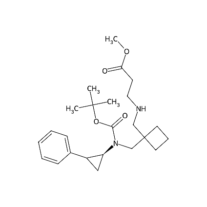 COC(=O)CCNCC1(CN(C(=O)OC(C)(C)C)[C@H]2CC2c2ccccc2)CCC1